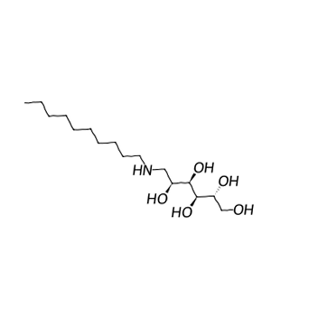 CCCCCCCCCCNC[C@H](O)[C@@H](O)[C@H](O)[C@H](O)CO